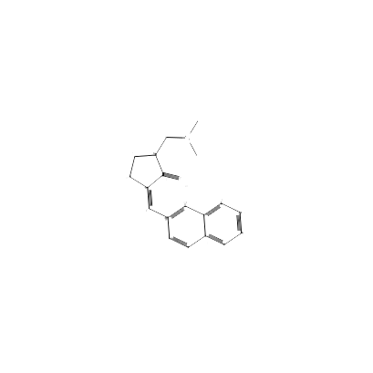 CN(C)CC1CCC(=Cc2ccc3ccccc3c2)C1=O